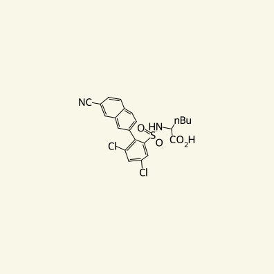 CCCCC(NS(=O)(=O)c1cc(Cl)cc(Cl)c1-c1ccc2ccc(C#N)cc2c1)C(=O)O